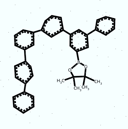 CC1(C)OB(c2cc(-c3ccccc3)cc(-c3cccc(-c4cccc(-c5ccc(-c6ccccc6)cc5)c4)c3)c2)OC1(C)C